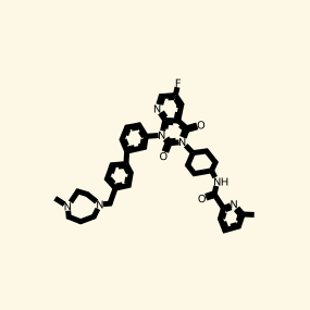 Cc1cccc(C(=O)NC2CCC(n3c(=O)c4cc(F)cnc4n(-c4cccc(-c5ccc(CN6CCCN(C)CC6)cc5)c4)c3=O)CC2)n1